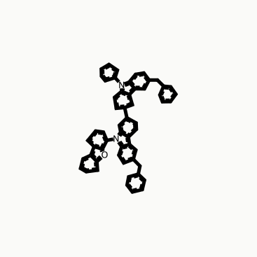 c1ccc(Cc2ccc3c(c2)c2cc(-c4ccc5c6cc(Cc7ccccc7)ccc6n(-c6cccc7c6oc6ccccc67)c5c4)ccc2n3-c2ccccc2)cc1